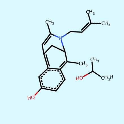 CC(C)=CCN1C(C)=CC2=c3cc(O)ccc3=C(C)C1C2.CC(O)C(=O)O